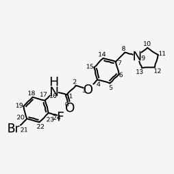 O=C(COc1ccc(CN2CCCC2)cc1)Nc1ccc(Br)cc1F